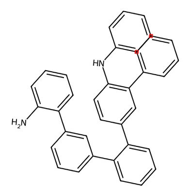 Nc1ccccc1-c1cccc(-c2ccccc2-c2ccc(Nc3ccccc3)c(-c3ccccc3)c2)c1